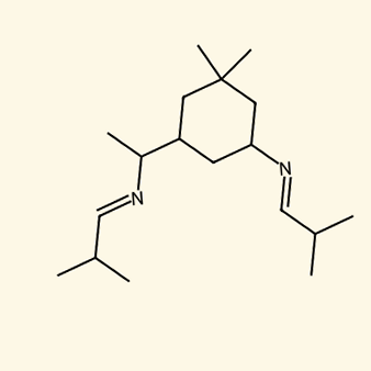 CC(C)C=NC1CC(C(C)N=CC(C)C)CC(C)(C)C1